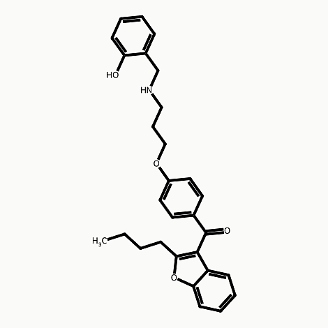 CCCCc1oc2ccccc2c1C(=O)c1ccc(OCCCNCc2ccccc2O)cc1